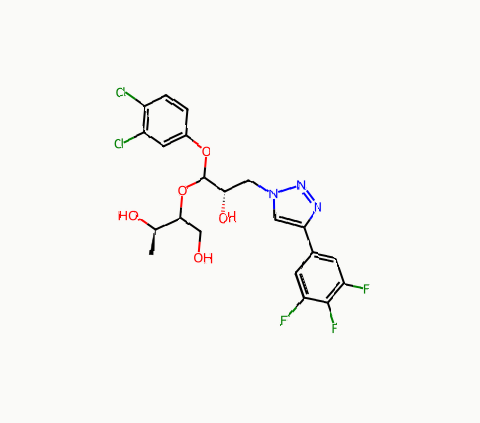 C[C@@H](O)C(CO)OC(Oc1ccc(Cl)c(Cl)c1)[C@@H](O)Cn1cc(-c2cc(F)c(F)c(F)c2)nn1